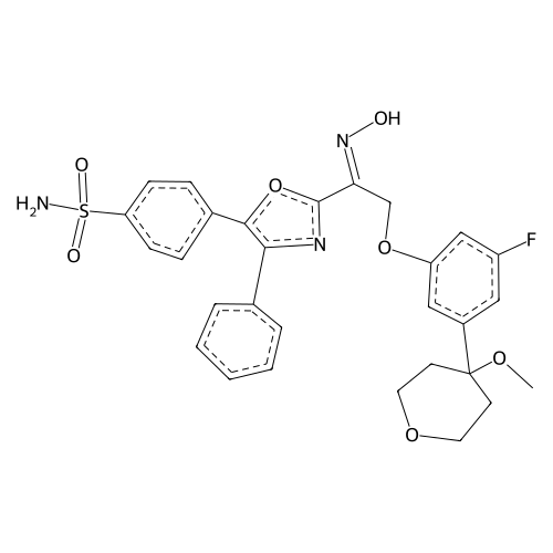 COC1(c2cc(F)cc(OC/C(=N\O)c3nc(-c4ccccc4)c(-c4ccc(S(N)(=O)=O)cc4)o3)c2)CCOCC1